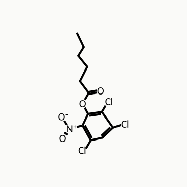 CCCCCC(=O)Oc1c(Cl)c(Cl)cc(Cl)c1[N+](=O)[O-]